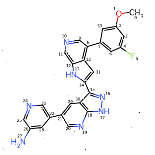 COc1cc(F)cc(-c2cncc3[nH]c(-c4n[nH]c5ncc(-c6cncc(N)c6)cc45)cc23)c1